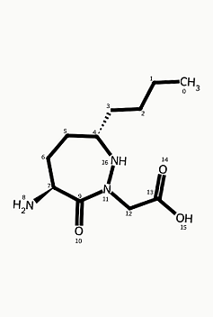 CCCC[C@H]1CC[C@H](N)C(=O)N(CC(=O)O)N1